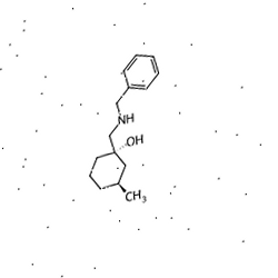 C[C@H]1CCC[C@@](O)(CNCc2ccccc2)C1